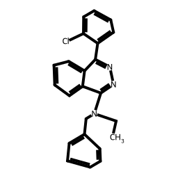 CCN(Cc1ccccc1)c1nnc(-c2ccccc2Cl)c2ccccc12